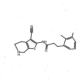 Cc1cccc(CCC(=O)Nc2sc3c(c2C#N)CCNC3)c1C